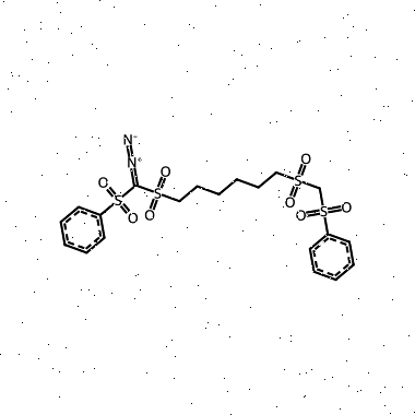 [N-]=[N+]=C(S(=O)(=O)CCCCCCS(=O)(=O)CS(=O)(=O)c1ccccc1)S(=O)(=O)c1ccccc1